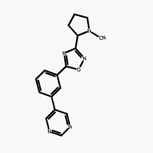 N#CN1CCCC1c1noc(-c2cccc(-c3cncnc3)c2)n1